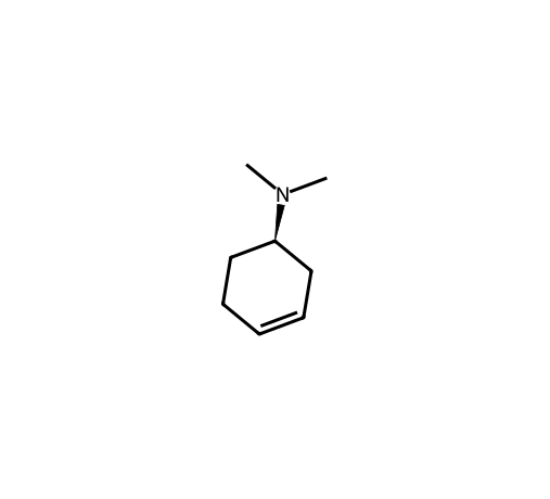 CN(C)[C@H]1CC=CCC1